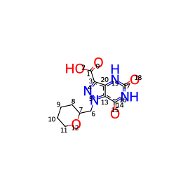 O=C(O)c1nn(CC2CCCCO2)c2c(=O)[nH]c(=O)[nH]c12